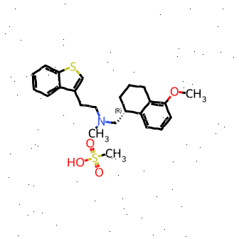 COc1cccc2c1CCC[C@H]2CN(C)CCc1csc2ccccc12.CS(=O)(=O)O